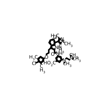 Cc1cc(OCCCc2c(C(=O)Nc3cc(C(=O)O)cc(N(C)CCN(C)C)c3)[nH]c3c(-c4c(C)nn(C)c4C)c(Cl)ccc23)cc(C)c1Cl